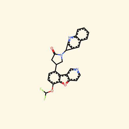 O=C1CC(c2ccc(OC(F)F)c3oc4ccncc4c23)CN1C1c2cc3ccccc3nc21